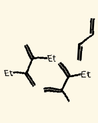 C=C(C)C(=C)CC.C=C(CC)C(=C)CC.C=CC=C